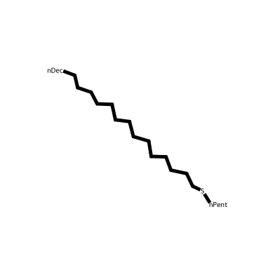 CCCCCCCCCCCCCCCCCCCCCCCCSCCCCC